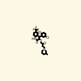 CC1CCCN(CCC(=O)CSc2c(-c3cc(Cl)ccc3O)c3cc(C(F)(F)F)ccc3[nH]c2=O)C1